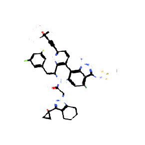 Cn1nc(NS(C)(=O)=O)c2c(Cl)ccc(-c3ccc(C#CC(C)(C)O)nc3C(Cc3cc(F)cc(F)c3)NC(=O)Cn3nc(C4(O)CC4)c4c3CCCC4)c21